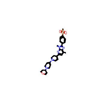 Cc1cc(C2CCN(C3CCN(C4CCOCC4)CC3)CC2)nc2c1nc(-c1ccc(S(C)(=O)=O)cc1)n2C